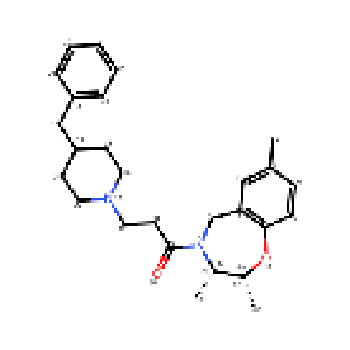 Cc1ccc2c(c1)CN(C(=O)CCN1CCC(Cc3ccccc3)CC1)[C@@H](C)[C@@H](C)O2